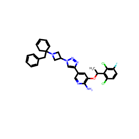 CC(Oc1cc(-c2cn(C3CN(C4(Cc5ccccc5)C=CC=CC4)C3)nn2)cnc1N)c1c(Cl)ccc(F)c1Cl